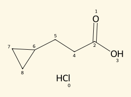 Cl.O=C(O)CCC1CC1